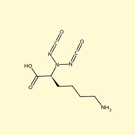 NCCCC[C@@H](C(=O)O)N(N=C=O)N=C=O